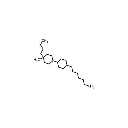 CCCCCCCC1CCC(C2CCC(C)(CCCC)CC2)CC1